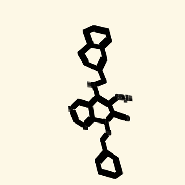 CCOC(=O)c1c(NCc2ccc3ccccc3c2)c2cncnc2n(OCc2ccccc2)c1=O